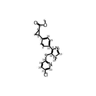 COC(=O)C1CC1c1ccc(-c2ncn(C)c2Sc2ccc(Cl)cn2)cc1